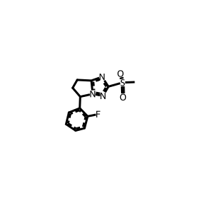 CS(=O)(=O)c1nc2n(n1)C(c1ccccc1F)CC2